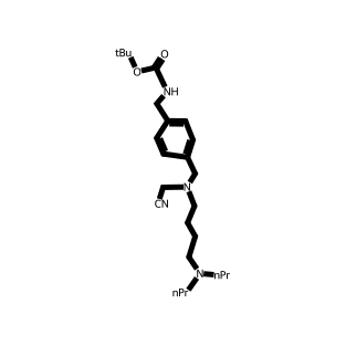 CCCN(CCC)CCCCN(CC#N)Cc1ccc(CNC(=O)OC(C)(C)C)cc1